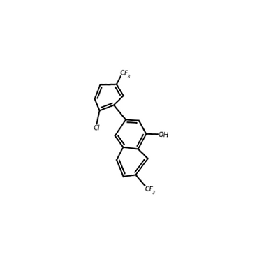 Oc1cc(-c2cc(C(F)(F)F)ccc2Cl)cc2ccc(C(F)(F)F)cc12